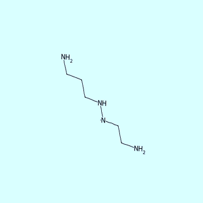 NCCCN[N]CCN